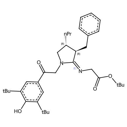 CCC[C@H]1CN(CC(=O)c2cc(C(C)(C)C)c(O)c(C(C)(C)C)c2)/C(=N/CC(=O)OC(C)(C)C)[C@@H]1Cc1ccccc1